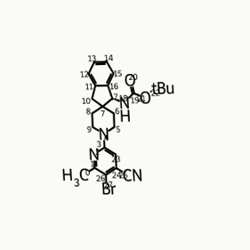 Cc1nc(N2CCC3(CC2)Cc2ccccc2[C@H]3NC(=O)OC(C)(C)C)cc(C#N)c1Br